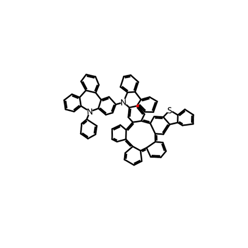 c1ccc(-c2ccccc2N(c2ccc3c(c2)-c2ccccc2-c2ccccc2N3c2ccccc2)c2ccc3c(c2)c2ccccc2c2ccccc2c2ccccc2c2cc4c(cc32)sc2ccccc24)cc1